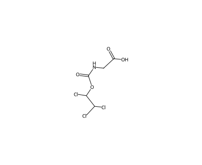 O=C(O)CNC(=O)OC(Cl)C(Cl)Cl